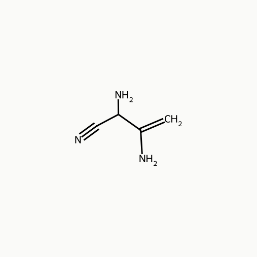 C=C(N)C(N)C#N